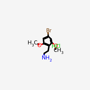 COc1cc(Br)cc(OC)c1CCN.Cl